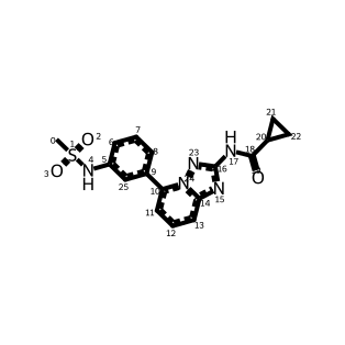 CS(=O)(=O)Nc1cccc(-c2cccc3nc(NC(=O)C4CC4)nn23)c1